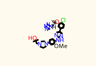 COc1cc(N2CCCN(CC(C)(C)O)CC2)ccc1Nc1ncc(-c2ccc(Cl)c(O[Si@@H](C)Cn3cnnn3)c2)cn1